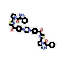 N[C@H](C(=O)N1CCCC1c1nc(C(=O)c2ccc(N3CCN(c4ccc(C(=O)c5csc([C@@H]6CCCN6C(=O)[C@@H](N)C6CCCCC6)n5)cc4)CC3)cc2)cs1)C1CCCCC1